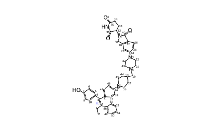 CC/C(=C(\c1ccc(O)cc1)c1ccc(N2CCC(CN3CCN(c4ccc5c(c4)CN(C4CCC(=O)NC4=O)C5=O)CC3)CC2)cc1)c1ccccc1